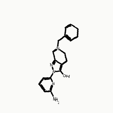 Nc1cccc(-n2nc3c(c2O)CCN(CC2=CCCC=C2)C3)n1